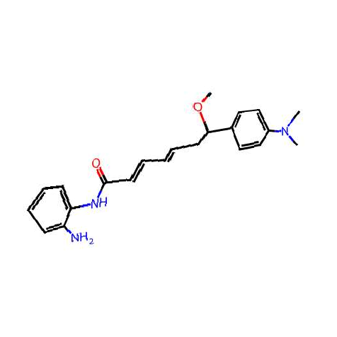 COC(C/C=C/C=C/C(=O)Nc1ccccc1N)c1ccc(N(C)C)cc1